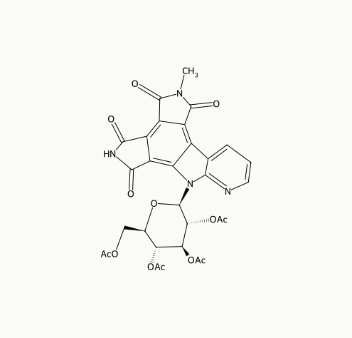 CC(=O)OC[C@H]1O[C@@H](n2c3ncccc3c3c4c(=O)n(C)c(=O)c4c4c(=O)[nH]c(=O)c4c32)[C@H](OC(C)=O)[C@@H](OC(C)=O)[C@@H]1OC(C)=O